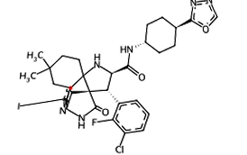 CC1(C)CCC2(CC1)N[C@@H](C(=O)N[C@H]1CC[C@H](c3nnco3)CC1)[C@H](c1cccc(Cl)c1F)[C@]21C(=O)Nc2nc(I)ccc21